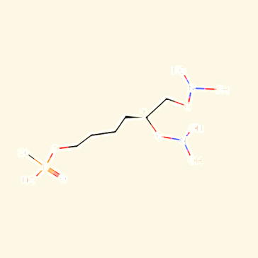 CCP(=O)(O)OCCCC[C@@H](CON(O)O)ON(O)O